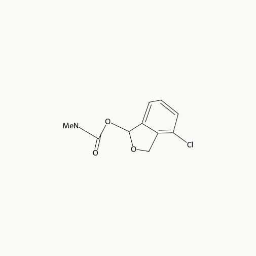 CNC(=O)OC1OCc2c(Cl)cccc21